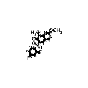 CSc1ncc2cc(S(=O)(=O)c3ccc(F)cc3F)c(=O)n(C)c2n1